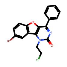 O=c1nc(-c2ccccc2)c2oc3ccc(Br)cc3c2n1CCCl